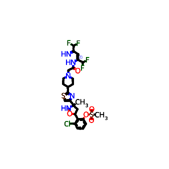 CC1(c2csc(C3CCN(CC(=O)N/C(=C\C(=N)C(F)F)C(F)F)CC3)n2)CC(c2c(Cl)cccc2OS(C)(=O)=O)ON1